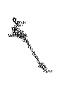 CC[C@H](C)[C@@H]([C@@H](CC(=O)N1CCC[C@H]1[C@H](OC)[C@@H](C)C(=O)N[C@@H](Cc1ccccc1)C(=O)O)OC)N(C)C(=O)[C@@H](NC(=O)[C@]1(C)CCCN1C(=O)CCOCCOCCOCCOCCOCCOCCNC(=O)C1=CC2SC(SC)=NC2C=C1)C(C)C